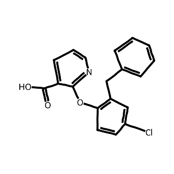 O=C(O)c1cccnc1Oc1ccc(Cl)cc1Cc1ccccc1